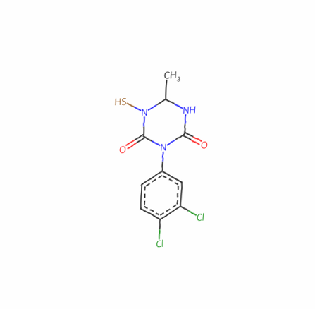 CC1NC(=O)N(c2ccc(Cl)c(Cl)c2)C(=O)N1S